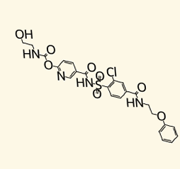 O=C(NCCO)Oc1ccc(C(=O)NS(=O)(=O)c2ccc(C(=O)NCCOc3ccccc3)cc2Cl)cn1